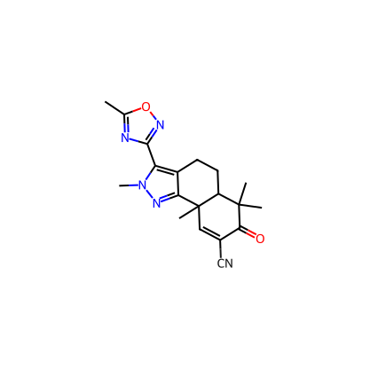 Cc1nc(-c2c3c(nn2C)C2(C)C=C(C#N)C(=O)C(C)(C)C2CC3)no1